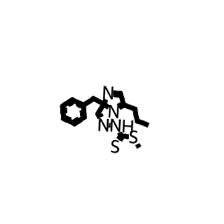 CCCC1=NC(/C=N\NC(=S)SC)(Cc2ccccc2)N=C1